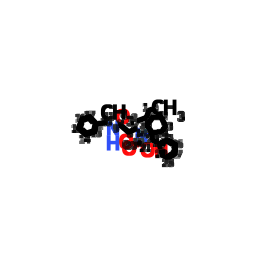 CCCC[C@@H](C(=O)C(=O)N[C@H](C)c1ccccc1)N(C(=O)O)C1(Cc2ccccc2)CCCCC1